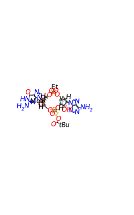 CCO[P@]1(=O)OC[C@@]23C[C@@H]2[C@@H](n2cnc4c(N)ncnc42)[C@H](O)[C@@H]3O[P@@](=O)(SCOC(=O)C(C)(C)C)OC[C@H]2O[C@@H](n3cnc4c(=O)[nH]c(N)nc43)[C@H](O1)[C@@H]2OC